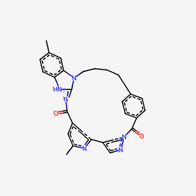 Cc1ccc2c(c1)N1CCCCc3ccc(cc3)C(=O)n3cc(cn3)-c3cc(cc(C)n3)C(=O)/N=C/1N2